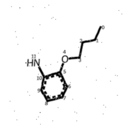 CCCCOc1ccccc1[NH]